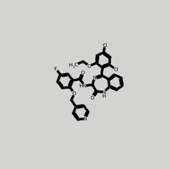 CCOc1cc(Cl)cc(Cl)c1C1=NC(NC(=O)c2cc(F)ccc2OCc2ccncc2)C(=O)Nc2ccccc21